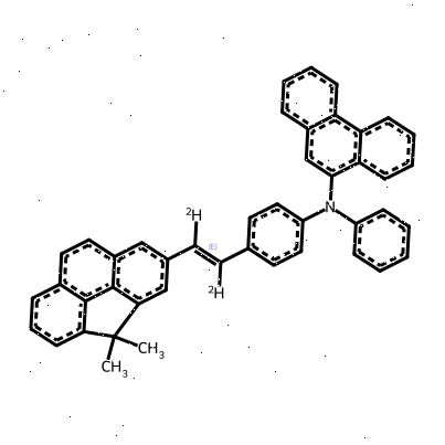 [2H]/C(=C(/[2H])c1cc2c3c(ccc4cccc(c43)C2(C)C)c1)c1ccc(N(c2ccccc2)c2cc3ccccc3c3ccccc23)cc1